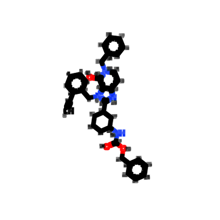 C#Cc1ccccc1Cn1c(C2CCCC(NC(=O)OCc3ccccc3)C2)nc2ccn(Cc3ccccc3)c(=O)c21